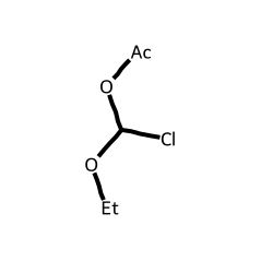 CCOC(Cl)OC(C)=O